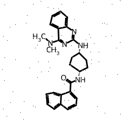 CN(C)c1nc(N[C@H]2CC[C@@H](NC(=O)c3cccc4ccccc34)CC2)nc2ccccc12